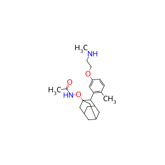 CNCCOc1ccc(C)c(C2C3CC4CC(C3)CC2(ONC(C)=O)C4)c1